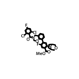 COC(=O)c1cc(F)c(-c2cccc3c2OCN(C(=O)c2c(Cl)cc(F)cc2Cl)C3)cc1N1C2CCC1COC2